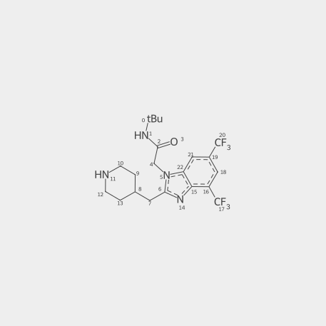 CC(C)(C)NC(=O)Cn1c(CC2CCNCC2)nc2c(C(F)(F)F)cc(C(F)(F)F)cc21